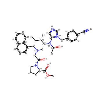 CC[C@H](C)[C@@H](CN(CC(=O)N1CCC[C@@H]1C(=O)OC)Cc1cccc2ccccc12)N(C(C)=O)c1cncn1Cc1ccc(C#N)cc1